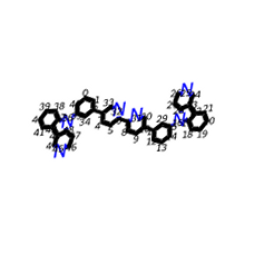 c1cc(-c2ccc(-c3ccc(-c4cccc(-n5c6ccccc6c6cnccc65)c4)cn3)nc2)cc(-n2c3ccccc3c3cnccc32)c1